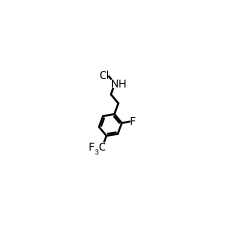 Fc1cc(C(F)(F)F)ccc1CCNCl